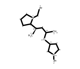 CC(C)CN1CCCC1[C@H](C)CC(C)OC1CCN(C(C)C)C1